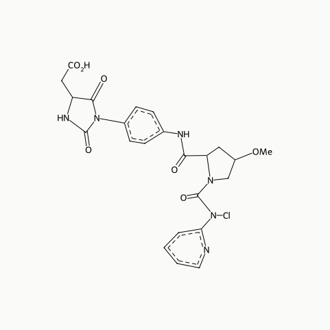 COC1CC(C(=O)Nc2ccc(N3C(=O)NC(CC(=O)O)C3=O)cc2)N(C(=O)N(Cl)c2ccccn2)C1